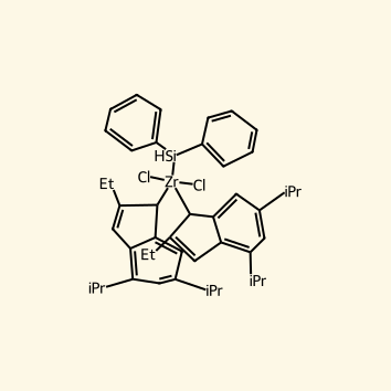 CCC1=Cc2c(C(C)C)cc(C(C)C)cc2[CH]1[Zr]([Cl])([Cl])([CH]1C(CC)=Cc2c(C(C)C)cc(C(C)C)cc21)[SiH](c1ccccc1)c1ccccc1